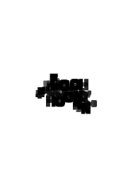 Cc1ncnc2c1ccn2[C@@H]1O[C@H]([C@@H](O)c2cc(F)cc(F)c2)[C@@H](O)[C@H]1O